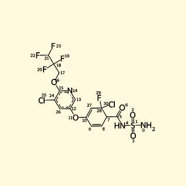 NS(=O)(=O)NC(=O)C1C=CC(Oc2cnc(OCC(F)(F)C(F)F)c(Cl)c2)=CC1(F)Cl